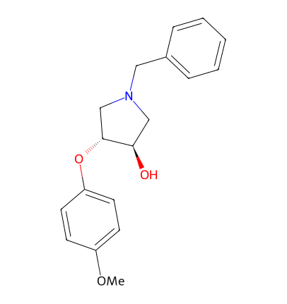 COc1ccc(O[C@@H]2CN(Cc3ccccc3)C[C@H]2O)cc1